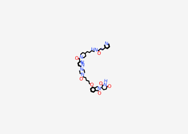 O=C(/C=C/c1cccnc1)NCCCCC1CCN(C(=O)c2ccc(N3CCN(C(=O)CCCCOc4cccc5c4CN(C4CCC(=O)NC4=O)C5=O)CC3)nn2)CC1